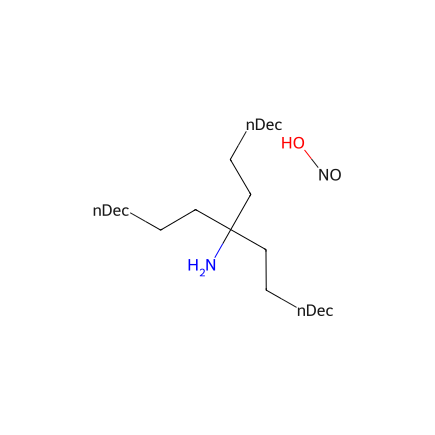 CCCCCCCCCCCCC(N)(CCCCCCCCCCCC)CCCCCCCCCCCC.O=NO